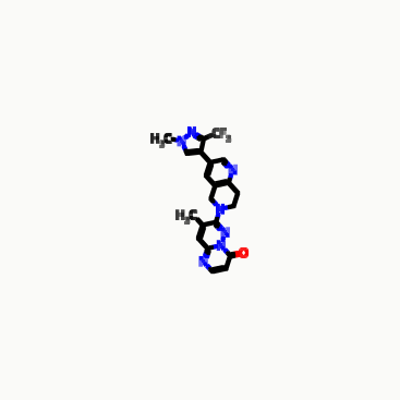 Cc1cc2nccc(=O)n2nc1N1CCc2ncc(-c3cn(C)nc3C(F)(F)F)cc2C1